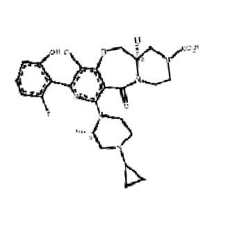 C[C@H]1CN(C2CC2)CCN1c1nc(-c2c(O)cccc2F)c(Cl)c2c1C(=O)N1CCN(C(=O)O)C[C@@H]1CO2